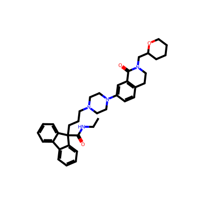 CCNC(=O)C1(CCCN2CCN(c3ccc4c(c3)C(=O)N(CC3CCCCO3)CC4)CC2)c2ccccc2-c2ccccc21